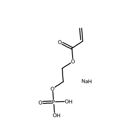 C=CC(=O)OCCOP(=O)(O)O.[NaH]